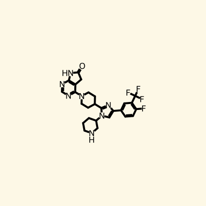 O=C1Cc2c(ncnc2N2CCC(c3nc(-c4ccc(F)c(C(F)(F)F)c4)cn3C3CCCNC3)CC2)N1